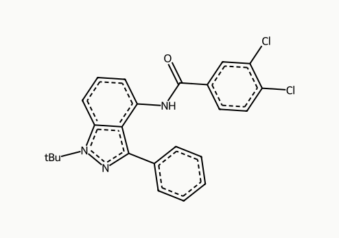 CC(C)(C)n1nc(-c2ccccc2)c2c(NC(=O)c3ccc(Cl)c(Cl)c3)cccc21